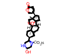 C[C@@]12CCC(C3CN[C@@H](O)CN3C(=O)O)CC1CC[C@@H]1[C@@H]2CC[C@]2(C)[C@@H](c3ccc(=O)oc3)CC[C@]12O